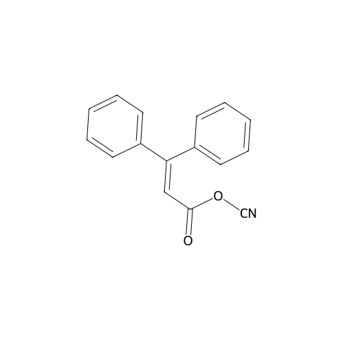 N#COC(=O)C=C(c1ccccc1)c1ccccc1